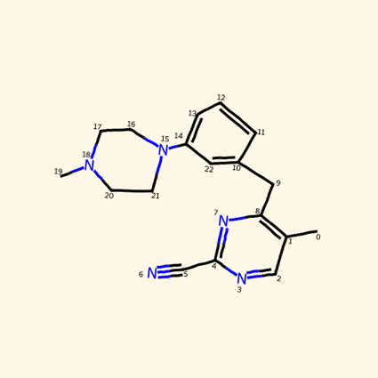 Cc1cnc(C#N)nc1Cc1cccc(N2CCN(C)CC2)c1